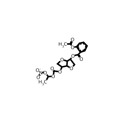 CC(=O)Oc1ccccc1C(=O)OC1COC2C(OC(=O)OC(C)O[N+](=O)[O-])COC12